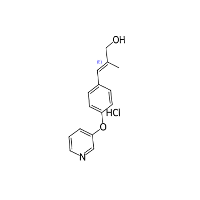 C/C(=C\c1ccc(Oc2cccnc2)cc1)CO.Cl